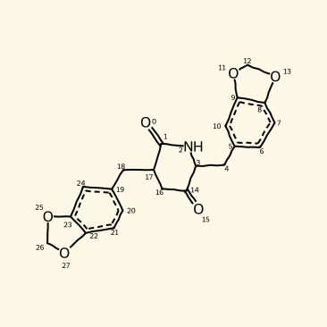 O=C1NC(Cc2ccc3c(c2)OCO3)C(=O)CC1Cc1ccc2c(c1)OCO2